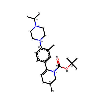 Cc1cc(C2=CC[C@H](C)CN2C(=O)OC(C)(C)C)ccc1N1CCN(C(C)C)CC1